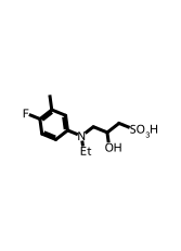 CCN(CC(O)CS(=O)(=O)O)c1ccc(F)c(C)c1